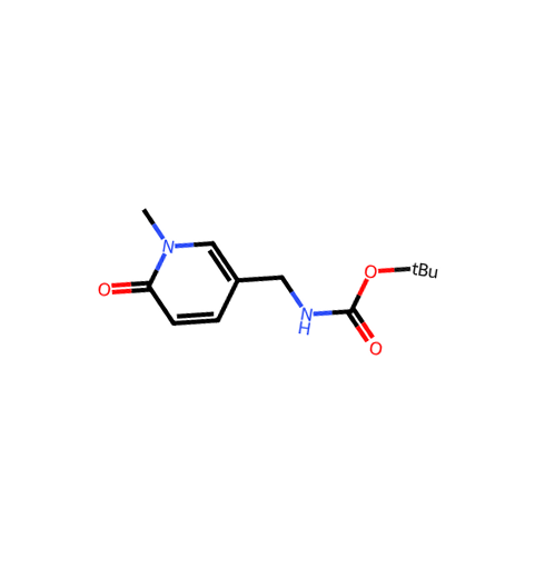 Cn1cc(CNC(=O)OC(C)(C)C)ccc1=O